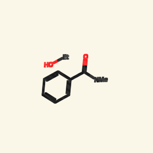 CCO.CNC(=O)c1ccccc1